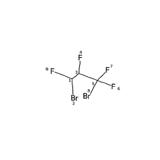 FC(Br)C(F)C(F)(F)Br